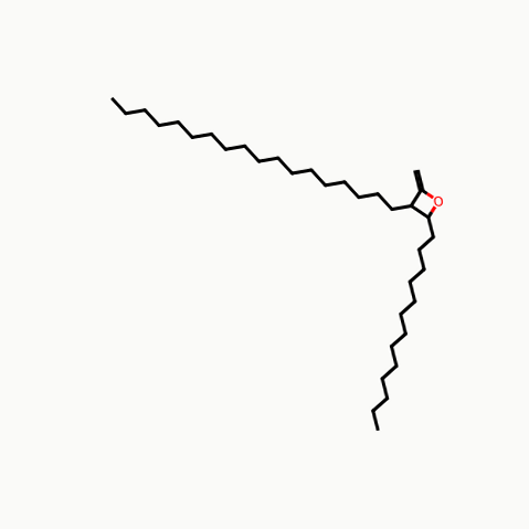 C=C1OC(CCCCCCCCCCCCC)C1CCCCCCCCCCCCCCCCCC